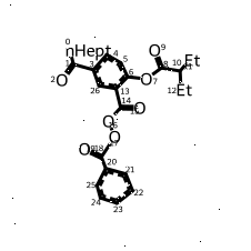 CCCCCCCC(=O)c1ccc(OC(=O)C(CC)CC)c(C(=O)OOC(=O)c2ccccc2)c1